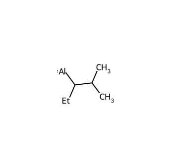 CC[CH]([Al])C(C)C